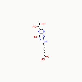 CC(O)C(O)c1cnc2nc(NCCCCCC(=O)O)nc(O)c2n1